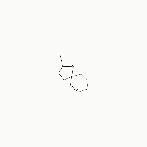 CC1CCC2(C=CCCC2)S1